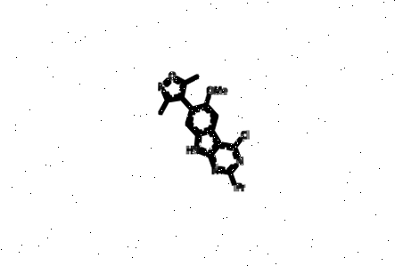 COc1cc2c(cc1-c1c(C)noc1C)[nH]c1nc(C(C)C)nc(Cl)c12